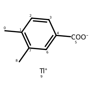 Cc1ccc(C(=O)[O-])cc1C.[Tl+]